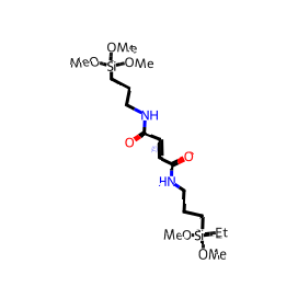 CC[Si](CCCNC(=O)/C=C/C(=O)NCCC[Si](OC)(OC)OC)(OC)OC